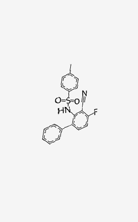 Cc1ccc(S(=O)(=O)Nc2c(-c3ccccc3)ccc(F)c2C#N)cc1